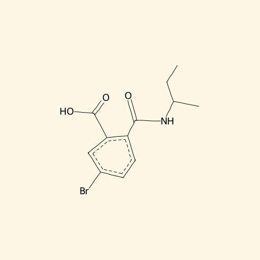 CCC(C)NC(=O)c1ccc(Br)cc1C(=O)O